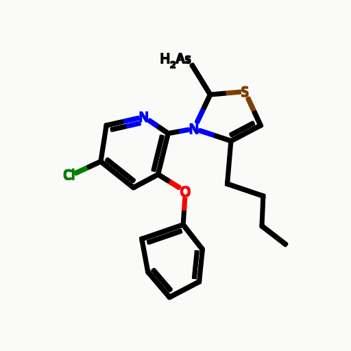 CCCCC1=CSC([AsH2])N1c1ncc(Cl)cc1Oc1ccccc1